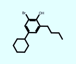 CCCCc1cc(C2CCCCC2)cc(Br)c1O